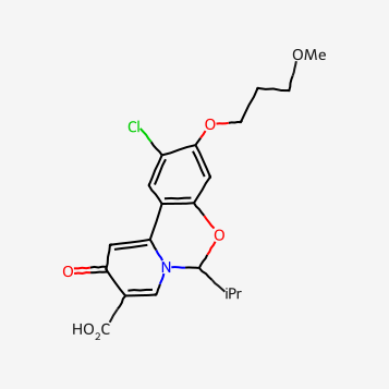 COCCCOc1cc2c(cc1Cl)-c1cc(=O)c(C(=O)O)cn1C(C(C)C)O2